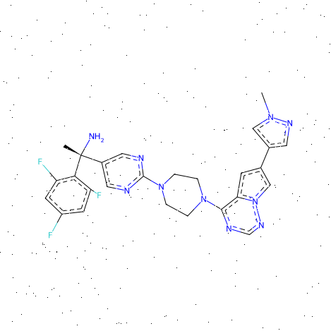 Cn1cc(-c2cc3c(N4CCN(c5ncc([C@@](C)(N)c6c(F)cc(F)cc6F)cn5)CC4)ncnn3c2)cn1